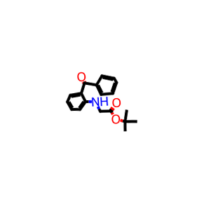 CC(C)(C)OC(=O)CNc1ccccc1C(=O)c1ccccc1